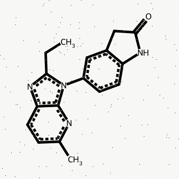 CCc1nc2ccc(C)nc2n1-c1ccc2c(c1)CC(=O)N2